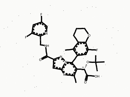 Cc1nc2cc(C(=O)NCc3ncc(F)cc3F)nn2c(-c2cc(F)c3c(c2C)CCCO3)c1[C@H](OC(C)(C)C)C(=O)O